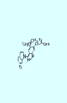 COc1cc2c(N3CCc4ccc(Cl)cc43)ncnc2cc1OCC(=O)O.[LiH]